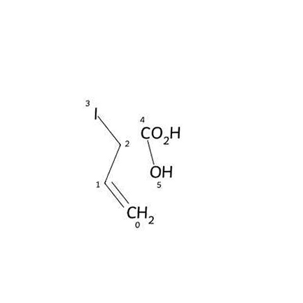 C=CCI.O=C(O)O